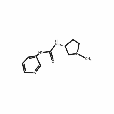 CN1CC[C@@H](NC(=O)Nc2cccnc2)C1